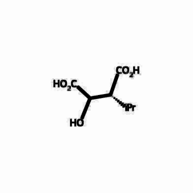 CC(C)[C@@H](C(=O)O)C(O)C(=O)O